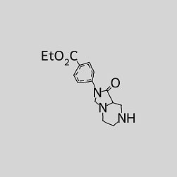 CCOC(=O)c1ccc(N2CN3CCNCC3C2=O)cc1